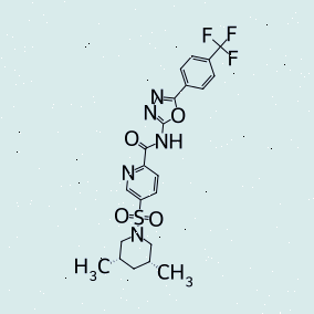 C[C@@H]1C[C@H](C)CN(S(=O)(=O)c2ccc(C(=O)Nc3nnc(-c4ccc(C(F)(F)F)cc4)o3)nc2)C1